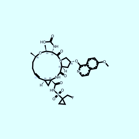 COc1ccc2c(O[C@@H]3C[C@H]4C(=O)N[C@]5(C(=O)NS(=O)(=O)C6(CF)CC6)C[C@H]5/C=C\CC[C@@H](C)O[C@@H](C)[C@H](NC(=O)O)C(=O)N4C3)nccc2c1